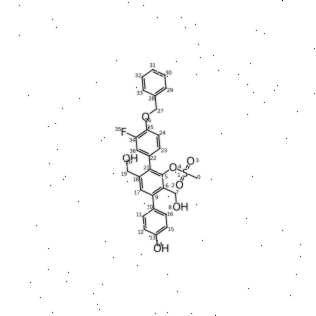 CS(=O)(=O)Oc1c(CO)c(-c2ccc(O)cc2)cc(CO)c1-c1ccc(OCc2ccccc2)c(F)c1